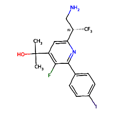 CC(C)(O)c1cc([C@H](CN)C(F)(F)F)nc(-c2ccc(I)cc2)c1F